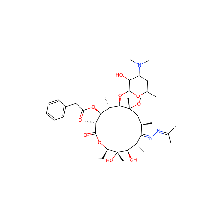 CC[C@H]1OC(=O)[C@H](C)[C@@H](OC(=O)Cc2ccccc2)[C@H](C)[C@@H](OC2OC(C)CC(N(C)C)C2O)[C@](C)(OC)C[C@@H](C)/C(=N\N=C(C)C)[C@H](C)[C@@H](O)[C@]1(C)O